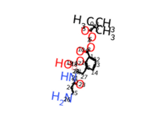 CC(C)(C)C(=O)OCOC(=O)c1cccc2c1OB(O)[C@@H](NC(=O)CCN)C2